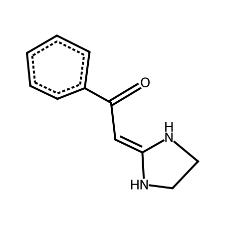 O=C(C=C1NCCN1)c1ccccc1